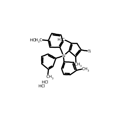 CC1=C([Si](c2cccc(C)c2)(c2cccc(C)c2)c2cccc(C)c2)C(C)=[C]([Ti])C1.Cl.Cl.Cl